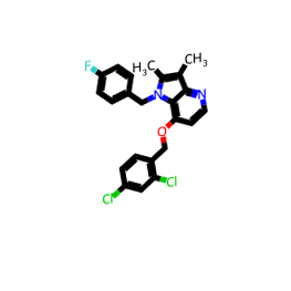 Cc1c(C)n(Cc2ccc(F)cc2)c2c(OCc3ccc(Cl)cc3Cl)ccnc12